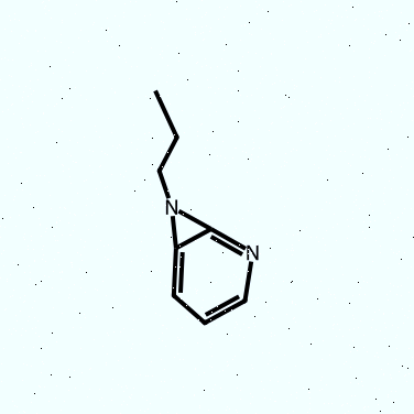 CCCN1c2cccnc21